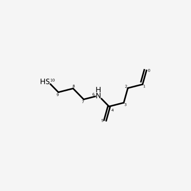 C=CCCC(=C)NCCCS